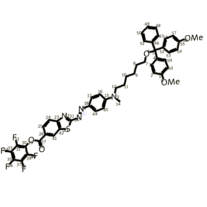 COc1ccc(C(OCCCCCCN(C)c2ccc(/N=N/c3nc4ccc(C(=O)Oc5c(F)c(F)c(F)c(F)c5F)cc4s3)cc2)(c2ccccc2)c2ccc(OC)cc2)cc1